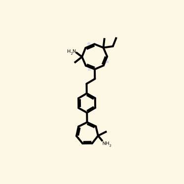 CCC1(C)/C=C\C(CCc2ccc(C3=CC(C)(N)C=CC=C3)cc2)=C/C(C)(N)/C=C\1